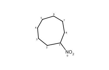 O=[N+]([O-])C1CCCCCCC1